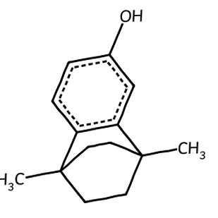 CC12CCC(C)(CC1)c1cc(O)ccc12